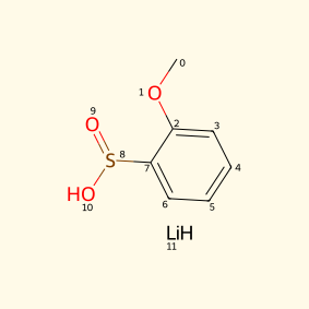 COc1ccccc1S(=O)O.[LiH]